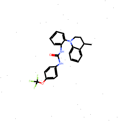 CC1CCN(c2ccccc2NC(=O)Nc2ccc(OC(F)(F)F)cc2)c2ccccc21